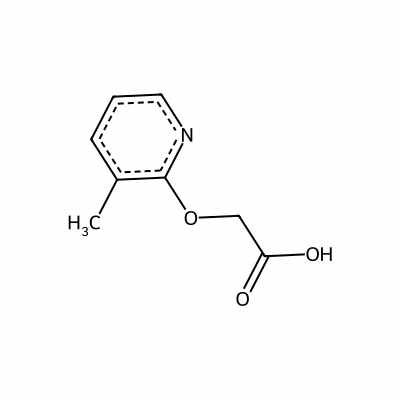 Cc1cccnc1OCC(=O)O